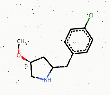 CO[C@@H]1CNC(Cc2ccc(Cl)cc2)C1